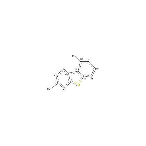 Cc1ccc2c(c1)sc1cccc(C)c12